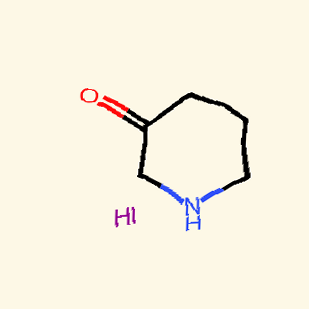 I.O=C1CCCNC1